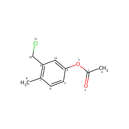 CC(=O)Oc1ccc(C)c(CCl)c1